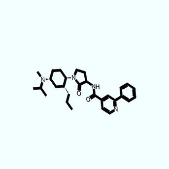 CCC[C@@H]1C[C@H](N(C)C(C)C)CC[C@@H]1N1CCC(NC(=O)c2ccnc(-c3ccccc3)c2)C1=O